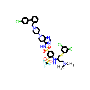 CN(C)CCC(CSc1cc(Cl)cc(Cl)c1)Nc1ccc(S(=O)(=O)Nc2ncnc3c2CCN(C2CCN(Cc4ccccc4-c4ccc(Cl)cc4)CC2)C3)cc1S(=O)(=O)C(F)(F)F